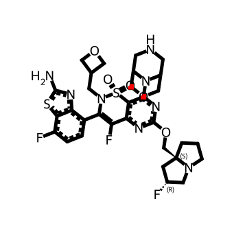 Nc1nc2c(C3=C(F)c4nc(OC[C@@]56CCCN5C[C@H](F)C6)nc(N5C6CNCC5COC6)c4S(=O)(=O)N3CC3COC3)ccc(F)c2s1